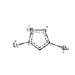 [CH2]Cc1cc(C(C)(C)C)n[nH]1